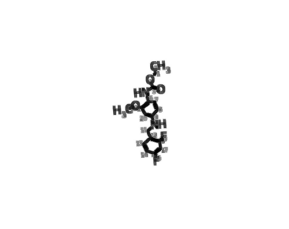 CCOC(=O)Nc1ccc(NCc2ccc(F)cc2F)cc1OC